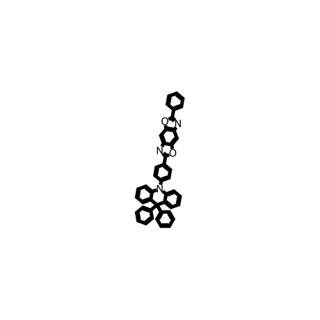 c1ccc(-c2nc3cc4oc(-c5ccc(N6c7ccccc7C(c7ccccc7)(c7ccccc7)c7ccccc76)cc5)nc4cc3o2)cc1